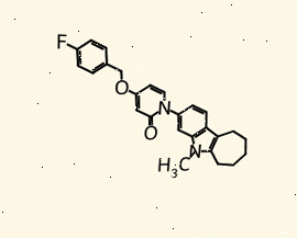 Cn1c2c(c3ccc(-n4ccc(OCc5ccc(F)cc5)cc4=O)cc31)CCCCC2